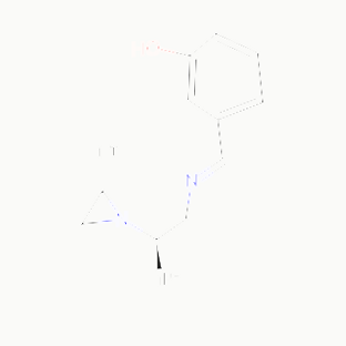 CC(C)[C@H]1CN1[C@@H](C/N=C/c1cccc(O)c1)C(C)C